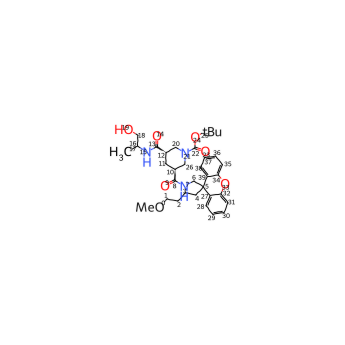 COCCCCC1(CNC(=O)[C@H]2C[C@@H](C(=O)NC(C)CO)CN(C(=O)OC(C)(C)C)C2)c2ccccc2Oc2ccccc21